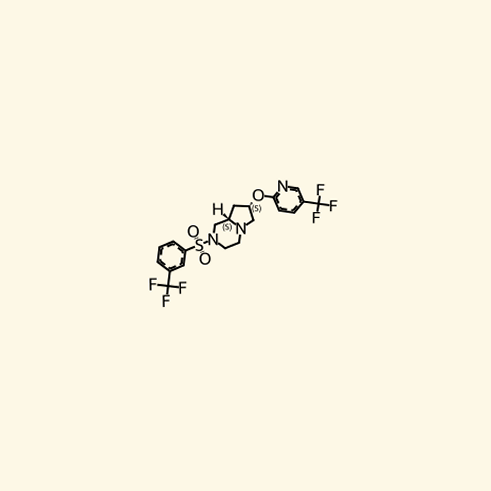 O=S(=O)(c1cccc(C(F)(F)F)c1)N1CCN2C[C@@H](Oc3ccc(C(F)(F)F)cn3)C[C@H]2C1